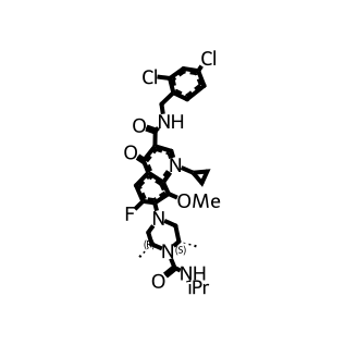 COc1c(N2C[C@@H](C)N(C(=O)NC(C)C)[C@@H](C)C2)c(F)cc2c(=O)c(C(=O)NCc3ccc(Cl)cc3Cl)cn(C3CC3)c12